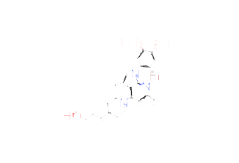 Bc1cc(Br)c(-n2cc(C)c3c(N4CCC(CCCO)CC4)cc(C)nc32)cc1B